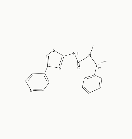 C[C@H](c1ccccc1)N(C)C(=O)Nc1nc(-c2ccncc2)cs1